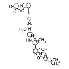 C[C@H]1CN(C2CC(C#Cc3cccc4c3C(=O)N(C3CCC(=O)NC3=O)C4)C2)CCN1c1ccc(Nc2cc(-c3ccnc(N4CCn5c(cc6c5CC(C)(C)C6)C4=O)c3CO)cn(C)c2=O)nc1